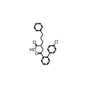 O=C(CC(CCCc1ccccc1)C(=O)O)c1ccccc1-c1ccc(Cl)cc1